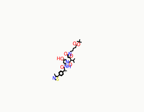 Cc1ncsc1-c1ccc([C@H](C)C(=O)N[C@@H]2C[C@@H](O)CN2C(=O)C(c2cc(=O)n(CCCCC(=O)OC(C)(C)C)o2)C(C)C)cc1